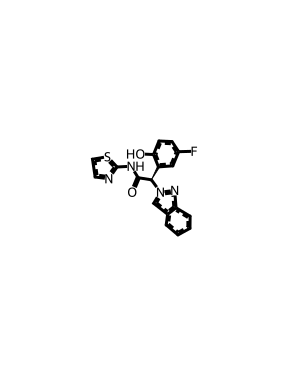 O=C(Nc1nccs1)[C@@H](c1cc(F)ccc1O)n1cc2ccccc2n1